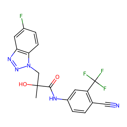 CC(O)(Cn1nnc2cc(F)ccc21)C(=O)Nc1ccc(C#N)c(C(F)(F)F)c1